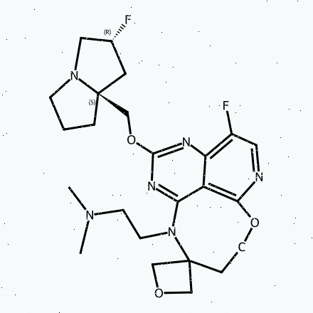 CN(C)CCN1c2nc(OC[C@@]34CCCN3C[C@H](F)C4)nc3c(F)cnc(c23)OCCC12COC2